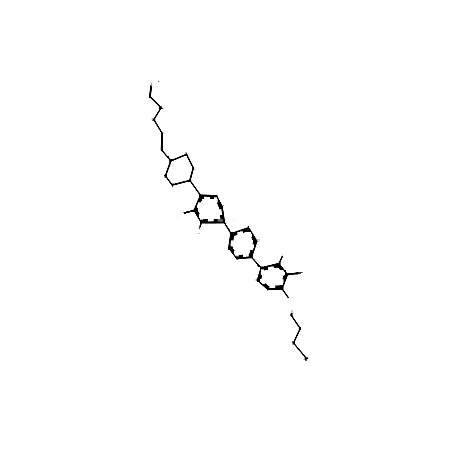 C=CCCCOc1ccc(-c2ccc(-c3ccc(C4CCC(CCCCCC)CC4)c(F)c3F)cc2)c(F)c1F